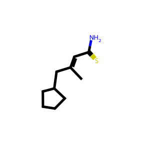 C/C(=C\C(N)=S)CC1CCCC1